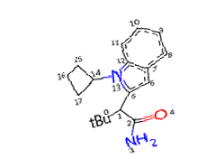 CC(C)(C)C(C(N)=O)c1cc2ccccc2n1C1CCC1